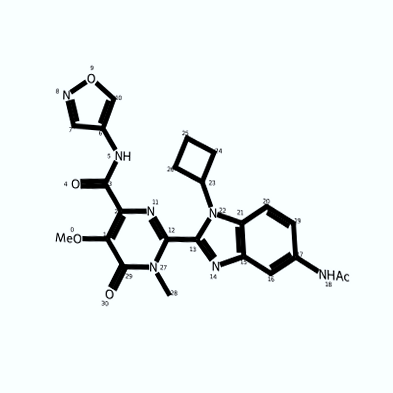 COc1c(C(=O)Nc2cnoc2)nc(-c2nc3cc(NC(C)=O)ccc3n2C2CCC2)n(C)c1=O